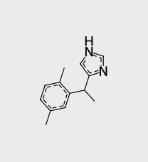 Cc1ccc(C)c(C(C)c2c[nH]cn2)c1